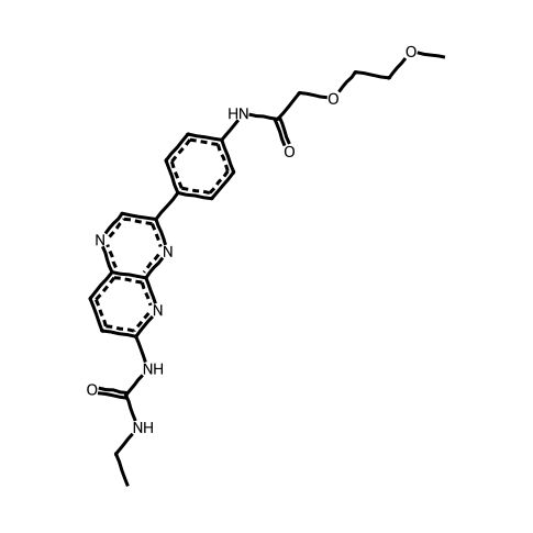 CCNC(=O)Nc1ccc2ncc(-c3ccc(NC(=O)COCCOC)cc3)nc2n1